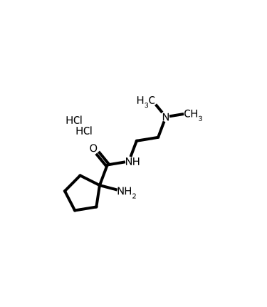 CN(C)CCNC(=O)C1(N)CCCC1.Cl.Cl